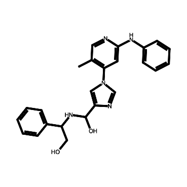 Cc1cnc(Nc2ccccc2)cc1-n1cnc(C(O)NC(CO)c2ccccc2)c1